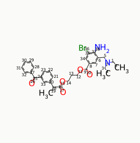 CCN(CC)Cc1cc(C(=O)OCCCOC(=O)C(C)c2cccc(C(=O)c3ccccc3)c2)cc(Br)c1N